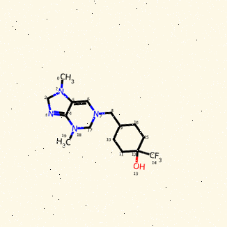 CN1CN=C2C1=CN(CC1CCC(O)(C(F)(F)F)CC1)CN2C